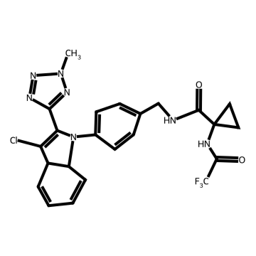 Cn1nnc(C2=C(Cl)C3C=CC=CC3N2c2ccc(CNC(=O)C3(NC(=O)C(F)(F)F)CC3)cc2)n1